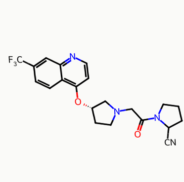 N#CC1CCCN1C(=O)CN1CC[C@H](Oc2ccnc3cc(C(F)(F)F)ccc23)C1